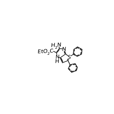 CCOC(=O)C1=C(N)N=C2C(=CC(c3ccccc3)=S2c2ccccc2)N1